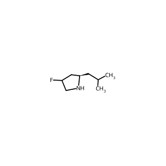 CC(C)C[C@@H]1CC(F)CN1